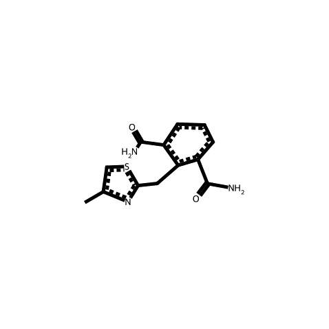 Cc1csc(Cc2c(C(N)=O)cccc2C(N)=O)n1